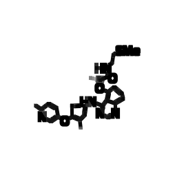 CSCCNC(=O)[C@@H](C)Oc1cccc2ncnc(Nc3ccc(Oc4ccc(C)nc4)c(C)c3)c12